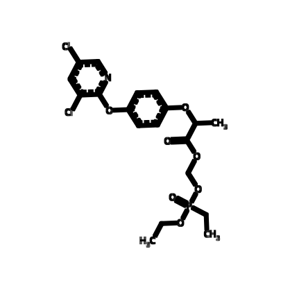 CCOP(=O)(CC)OCOC(=O)C(C)Oc1ccc(Oc2ncc(Cl)cc2Cl)cc1